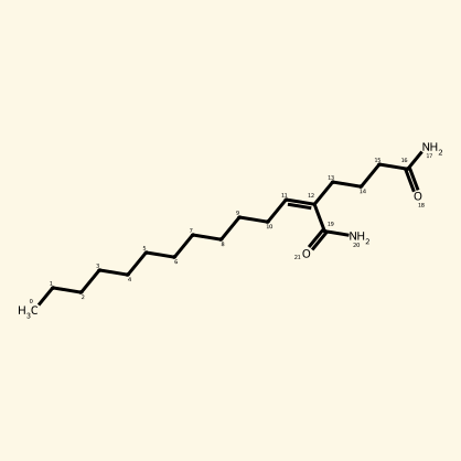 CCCCCCCCCCCC=C(CCCC(N)=O)C(N)=O